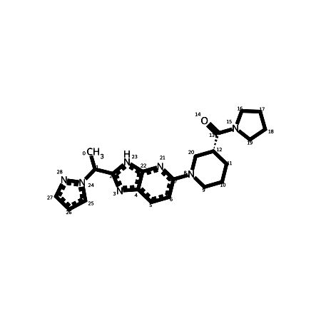 CC(c1nc2ccc(N3CCC[C@@H](C(=O)N4CCCC4)C3)nc2[nH]1)n1cccn1